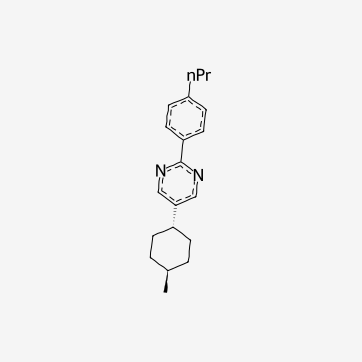 CCCc1ccc(-c2ncc([C@H]3CC[C@H](C)CC3)cn2)cc1